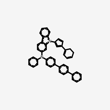 C1=C(C2=CC=CCC2)C=CC=1n1c2ccccc2c2ccc(N(c3ccccc3)c3ccc(-c4ccc(-c5ccccc5)cc4)cc3)cc21